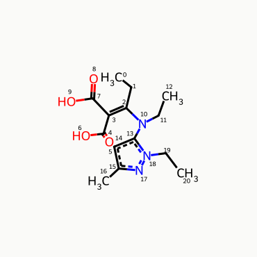 CCC(=C(C(=O)O)C(=O)O)N(CC)c1cc(C)nn1CC